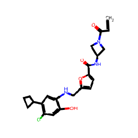 C=CC(=O)N1CC(NC(=O)c2ccc(CNc3cc(C4CCC4)c(Cl)cc3O)o2)C1